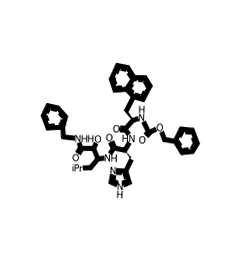 CC(C)CC(NC(=O)[C@@H](Cc1c[nH]cn1)NC(=O)[C@@H](Cc1cccc2ccccc12)NC(=O)OCc1ccccc1)C(O)C(=O)NCc1ccccc1